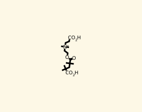 CC(C)(CC(C)(C)C(=O)OCC[N+](C)(C)CCC(=O)O)C(=O)O